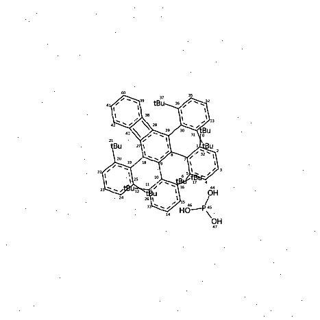 CC(C)(C)c1cccc(C(C)(C)C)c1-c1c(-c2c(C(C)(C)C)cccc2C(C)(C)C)c(-c2c(C(C)(C)C)cccc2C(C)(C)C)c2c(c1-c1c(C(C)(C)C)cccc1C(C)(C)C)=c1ccccc1=2.OP(O)O